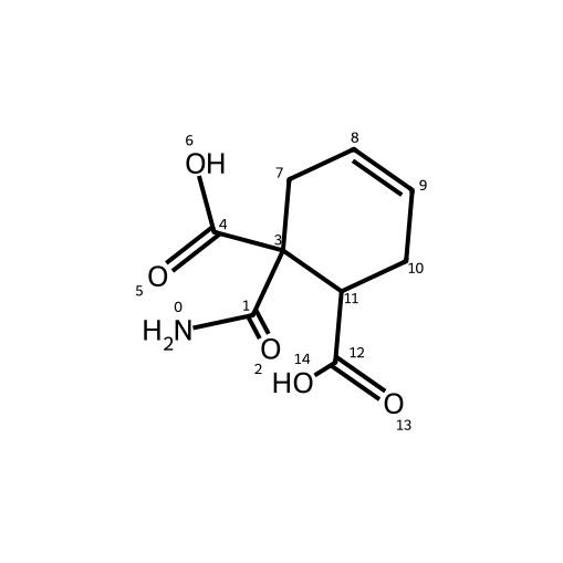 NC(=O)C1(C(=O)O)CC=CCC1C(=O)O